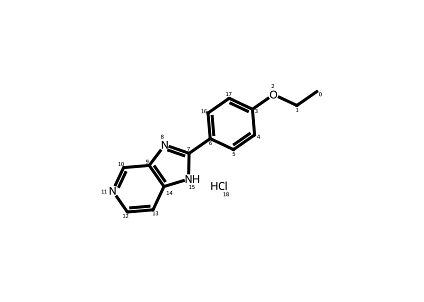 CCOc1ccc(-c2nc3cnccc3[nH]2)cc1.Cl